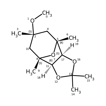 CO[C@]1(C)C[C@@]2(C)O[C@@](C)(C1)[C@@H]1OC(C)(C)O[C@@H]12